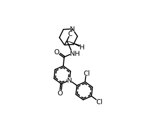 O=C(N[C@H]1CN2CCC1CC2)c1ccc(=O)n(-c2ccc(Cl)cc2Cl)c1